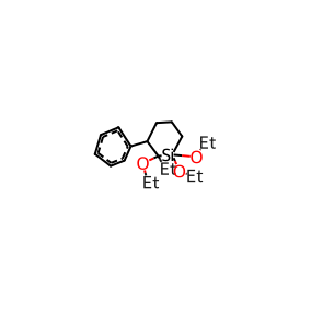 CCOC1(CC)C(c2ccccc2)CCC[Si]1(OCC)OCC